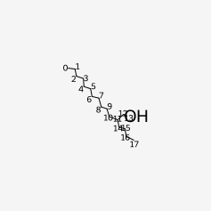 CCCCCCCCCCCC(CO)CCCC